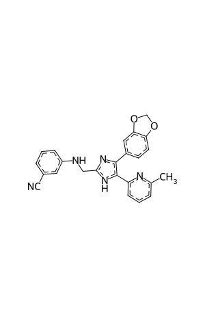 Cc1cccc(-c2[nH]c(CNc3cccc(C#N)c3)nc2-c2ccc3c(c2)OCO3)n1